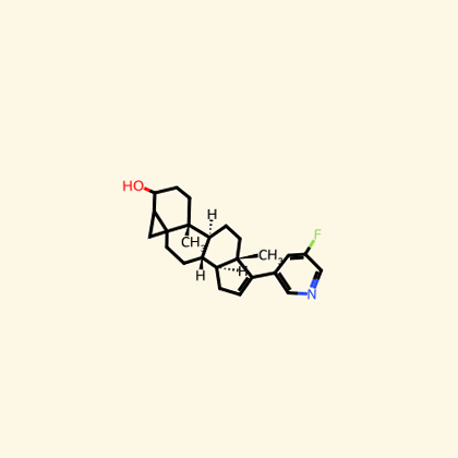 C[C@]12CC[C@H]3[C@@H](CCC45CC4C(O)CC[C@]35C)[C@@H]1CC=C2c1cncc(F)c1